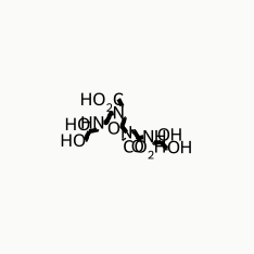 O=C(O)CN(CCN(CC(=O)O)CC(=O)NCC(O)CO)CC(=O)NCC(O)CO